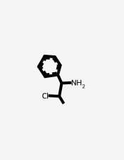 CC(Cl)C(N)c1ccccc1